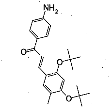 Cc1cc(C=CC(=O)c2ccc(N)cc2)c(OC(C)(C)C)cc1OC(C)(C)C